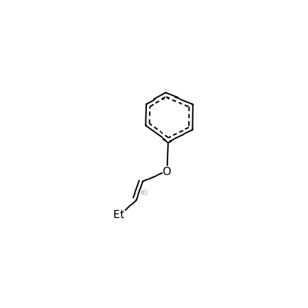 CC/C=C/Oc1cc[c]cc1